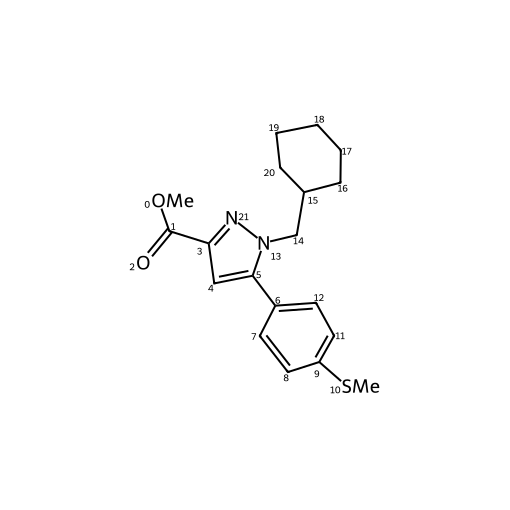 COC(=O)c1cc(-c2ccc(SC)cc2)n(CC2CCCCC2)n1